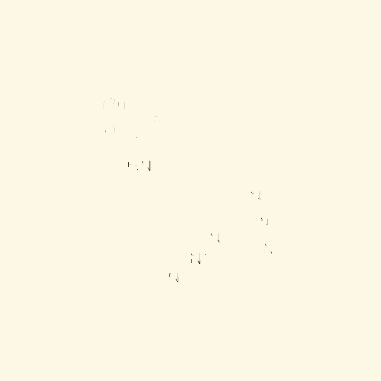 CC(C)(C)OC(=O)NC1CC[C@H](N=[N+]=[N-])[C@H](N=[N+]=[N-])C1